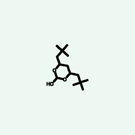 CC(C)(C)CC1CC(CC(C)(C)C)OC(O)O1